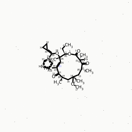 CC[C@H]1OC(=O)[C@@](C)(F)C(=O)[C@H](C)C[C@](C)(OC)C[C@@H](C)C(=O)/C(C)=C/[C@]1(C)OC(=C1CC1)n1ccnc1